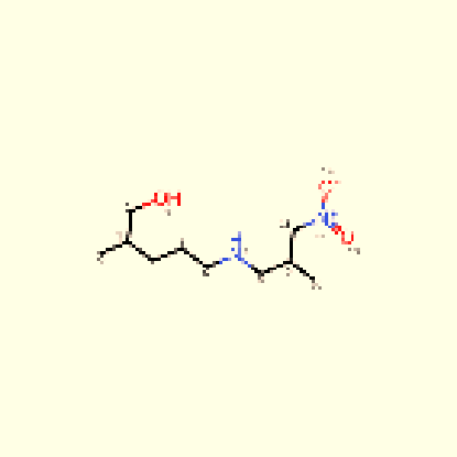 CC(CO)CCCNCC(C)C[N+](=O)[O-]